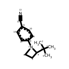 CC(C)(C)C1CCN1c1ccc(C#N)cc1